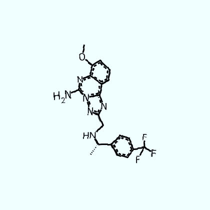 COc1cccc2c1nc(N)n1nc(CN[C@@H](C)c3ccc(C(F)(F)F)cc3)nc21